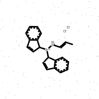 CC=C[SiH2][Zr+2]([CH]1C=Cc2ccccc21)[CH]1C=Cc2ccccc21.[Cl-].[Cl-]